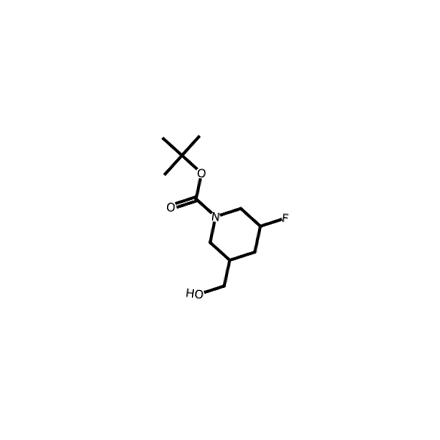 CC(C)(C)OC(=O)N1CC(F)CC(CO)C1